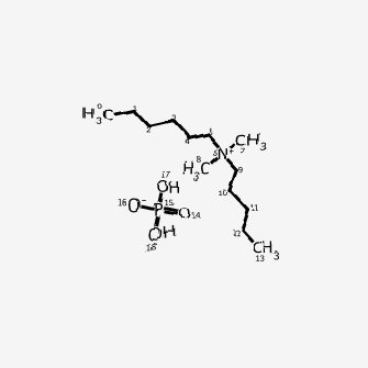 CCCCCC[N+](C)(C)CCCCC.O=P([O-])(O)O